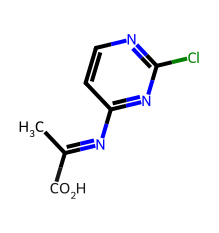 C/C(=N\c1ccnc(Cl)n1)C(=O)O